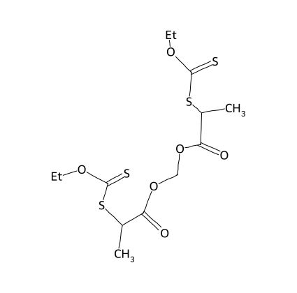 CCOC(=S)SC(C)C(=O)OCOC(=O)C(C)SC(=S)OCC